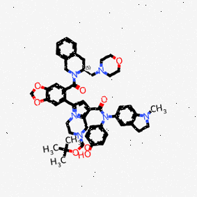 CN1CCc2cc(N(C(=O)c3cc(-c4cc5c(cc4C(=O)N4Cc6ccccc6C[C@H]4CN4CCOCC4)OCO5)n4c3CN(C(=O)OC(C)(C)C)CC4)c3ccc(O)cc3)ccc21